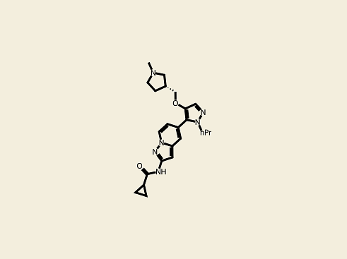 CCCn1ncc(OC[C@@H]2CCN(C)C2)c1-c1ccn2nc(NC(=O)C3CC3)cc2c1